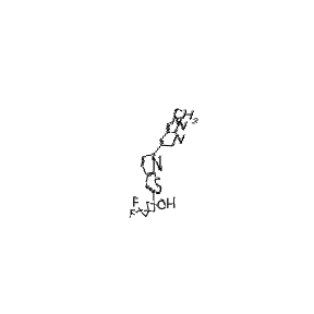 Cn1cc2cc(-c3ccc4cc(C5(O)CC6(C5)CC6(F)F)sc4n3)cnc2n1